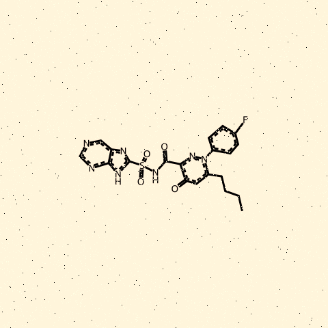 CCCCc1cc(=O)c(C(=O)NS(=O)(=O)c2nc3cncnc3[nH]2)nn1-c1ccc(F)cc1